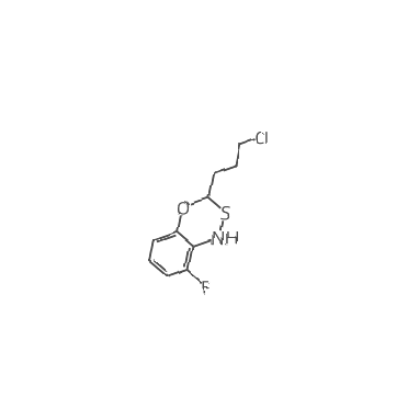 Fc1cccc2c1NSC(CCCCl)O2